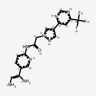 N/C=C(\N)c1ccc(NC(=O)Cn2cc(-c3cc(C(F)(F)F)ncn3)cn2)nc1